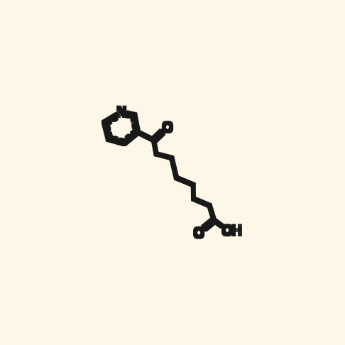 O=C(O)CCCCCCC(=O)c1cccnc1